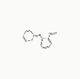 C=Nc1ccccc1/N=C1/C=CC=CC1